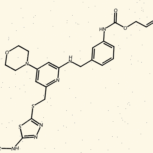 C=CCOC(=O)Nc1cccc(CNc2cc(N3CCOCC3)cc(CSc3nnc(NCC)s3)n2)c1